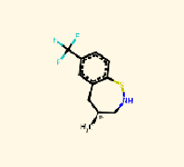 C[C@@H]1CNSc2ccc(C(F)(F)F)cc2C1